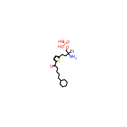 CCC(N)(CCc1ccc(C(=O)CCCCC2CCCCC2)s1)COP(=O)(O)O